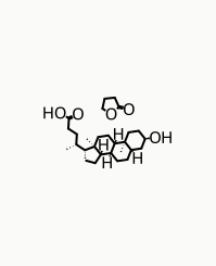 C[C@H](CCC(=O)O)[C@H]1CC[C@H]2[C@@H]3CC[C@@H]4C[C@H](O)CC[C@]4(C)[C@H]3CC[C@]12C.O=C1CCCO1